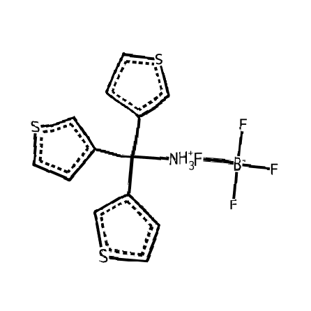 F[B-](F)(F)F.[NH3+]C(c1ccsc1)(c1ccsc1)c1ccsc1